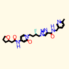 Cc1ccc(CNC(=O)c2cn(CC(F)CCn3ccc(NC(=O)CC4CCCO4)cc3=O)nn2)cn1